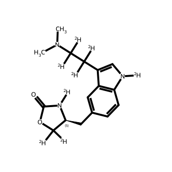 [2H]N1C(=O)OC([2H])([2H])[C@@H]1Cc1ccc2c(c1)c(C([2H])([2H])C([2H])([2H])N(C)C)cn2[2H]